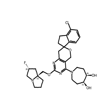 O[C@@H]1CCN(c2nc(OC[C@@]34CCCN3C[C@H](F)C4)nc3c2COC2(CCc4c(Cl)cccc42)C3)CC[C@@H]1O